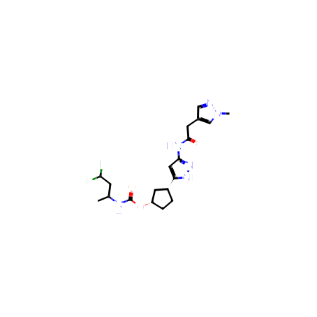 CC(CC(F)F)NC(=O)O[C@@H]1CC[C@H](c2cc(NC(=O)Cc3cnn(C)c3)n[nH]2)C1